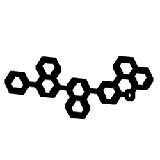 c1ccc(-c2ccc(-c3ccc(-c4ccc5c(c4)-c4cccc6cccc(c46)O5)c4ccccc34)c3ccccc23)cc1